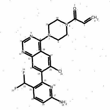 C=CC(=O)N1CCN(c2ncnc3cc(-c4nc(N)ccc4C(F)F)c(Cl)cc23)CC1